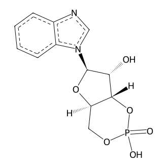 O=P1(O)OC[C@H]2O[C@@H](n3cnc4ccccc43)[C@H](O)[C@@H]2O1